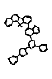 CC1(C)c2c(cccc2-c2ccc(-c3cc(-c4ccc(-c5ccccc5)cc4)nc(-c4ccccc4)n3)c3ccccc23)-c2ccc3ccccc3c21